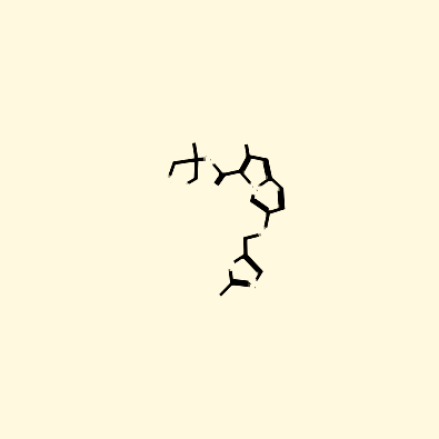 Cc1ncc(COc2ccc3cc(C)c(C(=O)NC(C)(CO)CO)n3c2)s1